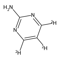 [2H]c1nc(N)nc([2H])c1[2H]